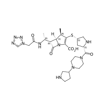 C[C@@H](NC(=O)Cn1cnnn1)[C@H]1C(=O)N2C(C(=O)O)=C(S[C@@H]3CN[C@H](C(=O)N4CCN(C5CCNC5)CC4)C3)[C@H](C)[C@H]12